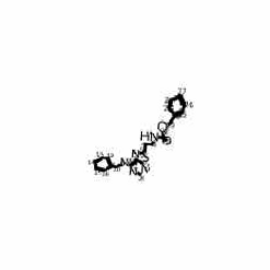 O=C(NCCc1nc2c(NCc3ccccc3)ncnc2s1)OCc1ccccc1